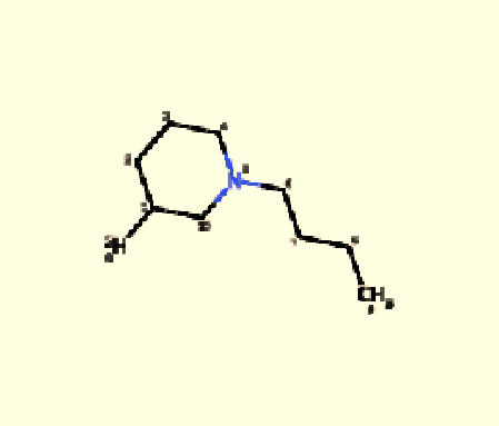 [2H]C1CCCN(CCCC)C1